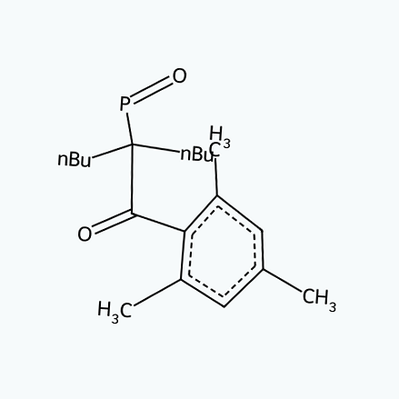 CCCCC(CCCC)(P=O)C(=O)c1c(C)cc(C)cc1C